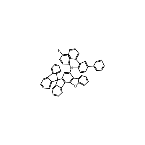 Fc1ccc(N(c2ccc(-c3ccccc3)cc2-c2ccccc2)c2cc3c(c4oc5ccccc5c24)-c2ccccc2C32c3ccccc3-c3ccccc32)cc1